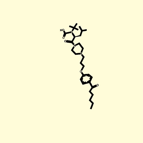 CCCCCC(=O)c1ccc(OCCCN2CCN(C(=O)[C@H](CC(C)C)N(C(=O)O)C(C)(C)C)CC2)cc1